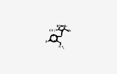 CC(C)C1=C(Cc2ccc(Br)cc2CN)C(C=O)NN1